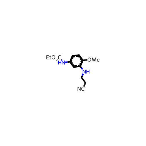 CCOC(=O)Nc1ccc(OC)c(NCCC#N)c1